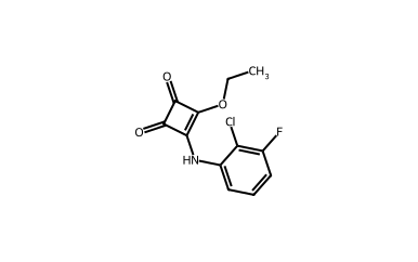 CCOc1c(Nc2cccc(F)c2Cl)c(=O)c1=O